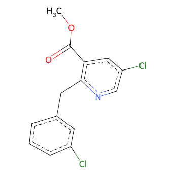 COC(=O)c1cc(Cl)cnc1Cc1cccc(Cl)c1